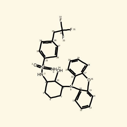 N=S(=O)(NC1CCCC(N2c3ccccc3Oc3ccccc32)C1O)c1ccc(CC(F)(F)F)cc1